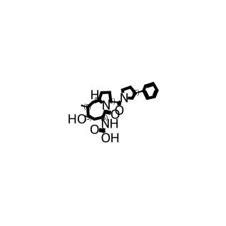 C[C@H]1C[C@H]2CC[C@@H](C(=O)N3CC[C@@H](c4ccccc4)C3)N2C(=O)[C@@H](NC(=O)O)C[C@@H]1O